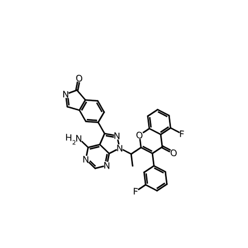 CC(c1oc2cccc(F)c2c(=O)c1-c1cccc(F)c1)n1nc(-c2ccc3c(c2)C=NC3=O)c2c(N)ncnc21